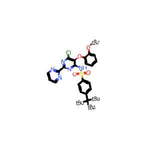 CC(C)(C)Oc1ccccc1Oc1c(Cl)nc(-c2ncccn2)nc1NS(=O)(=O)c1ccc(C(C(C)(C)C)(C(C)(C)C)C(C)(C)C)cc1